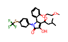 COCCOc1ccccc1C1C(C(=O)CC(C)C)=C(O)C(=O)N1c1ccc(SC(F)(F)F)cc1